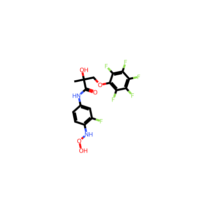 CC(O)(COc1c(F)c(F)c(F)c(F)c1F)C(=O)Nc1ccc(NOO)c(F)c1